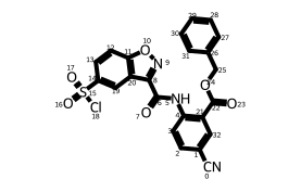 N#Cc1ccc(NC(=O)c2noc3ccc(S(=O)(=O)Cl)cc23)c(C(=O)OCc2ccccc2)c1